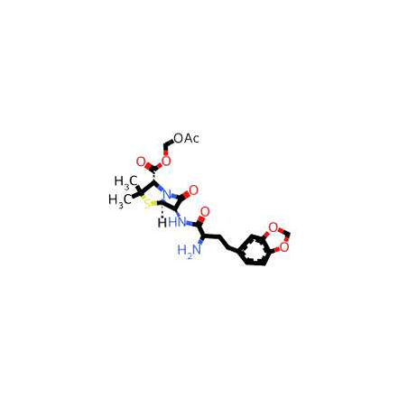 CC(=O)OCOC(=O)[C@@H]1N2C(=O)[C@@H](NC(=O)C(N)CCc3ccc4c(c3)OCO4)[C@H]2SC1(C)C